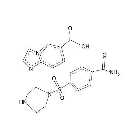 NC(=O)c1ccc(S(=O)(=O)N2CCNCC2)cc1.O=C(O)c1ccc2nccn2c1